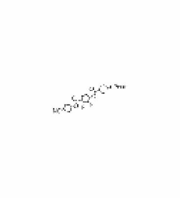 CCCCCC1CCC(C(=O)Oc2ccc(C(=O)Oc3ccc(C#N)cc3)c(F)c2F)CC1